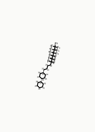 FC(F)(F)C(F)(F)C(F)(F)C(F)(F)C(F)(F)C(F)(F)CCCC[C@H]1CC[C@H](C2CCCCC2)CC1